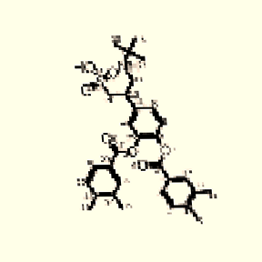 Cc1ccc(C(=O)Oc2ccc(C(CNC(C)(C)C)CS(=O)(=O)O)cc2OC(=O)c2ccc(C)c(C)c2)cc1C